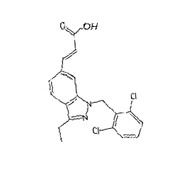 CCc1nn(Cc2c(Cl)cccc2Cl)c2cc(C=CC(=O)O)ccc12